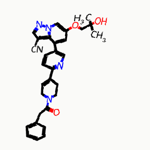 CC(C)(O)COc1cc(-c2ccc(C3=CCN(C(=O)Cc4ccccc4)CC3)nc2)c2c(C#N)cnn2c1